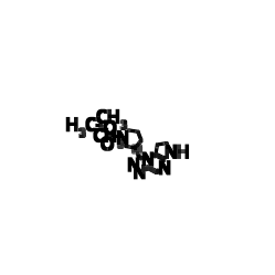 CC(C)(C)OC(=O)N1CCC[C@@H](c2nnc3cnc4c(n23)CCN4)C1